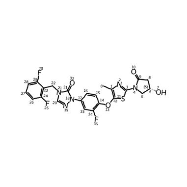 Cc1nc(N2C[C@@H](O)CC2=O)sc1Oc1ccc(-n2ncn(Cc3c(F)cccc3F)c2=O)cc1F